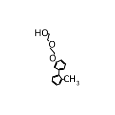 Cc1ccccc1-c1cccc(OCCOCCO)c1